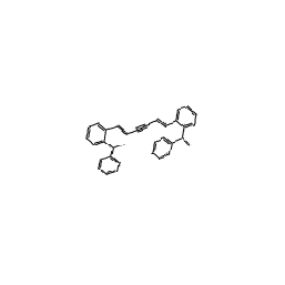 CC(c1ccccc1)c1ccccc1C=CC#CC=Cc1ccccc1C(C)c1ccccc1